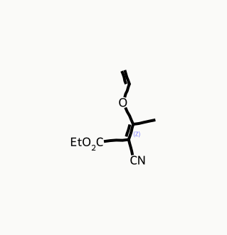 C=CO/C(C)=C(/C#N)C(=O)OCC